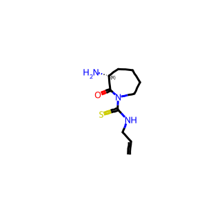 C=CCNC(=S)N1CCCC[C@@H](N)C1=O